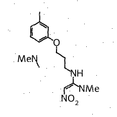 CNC.CNC(=C[N+](=O)[O-])NCCCOc1cccc(C)c1